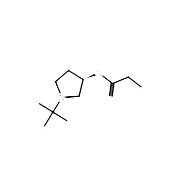 CCC(=O)N[C@@H]1CCN(C(C)(C)C)C1